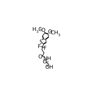 COc1cc2cc(C(F)(F)CCC(=O)NOSO)sc2cc1OC